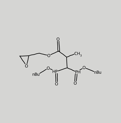 CCCCO[PH](=O)C(C(C)C(=O)OCC1CO1)[PH](=O)OCCCC